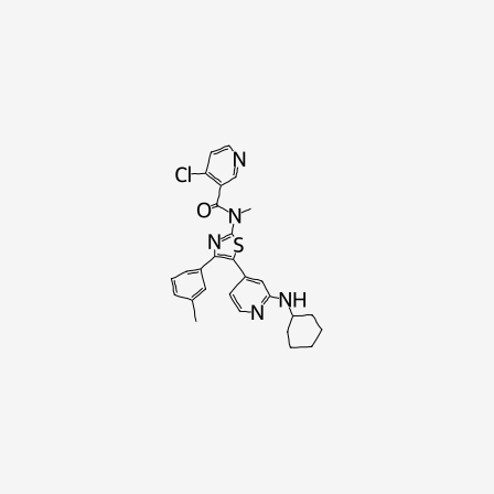 Cc1cccc(-c2nc(N(C)C(=O)c3cnccc3Cl)sc2-c2ccnc(NC3CCCCC3)c2)c1